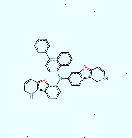 C1=Cc2oc3c(N(c4ccc5c6c(oc5c4)C=CNC6)c4ccc(-c5ccccc5)c5ccccc45)cccc3c2NC1